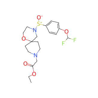 CCOC(=O)CN1CCC2(CC1)CN([S+]([O-])c1ccc(OC(F)F)cc1)CCO2